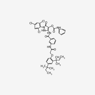 CCC(C)(C)c1ccc(OCC(=O)Nc2cccc(C(=O)Nc3[nH]n(-c4c(Cl)cc(Cl)cc4Cl)c(=O)c3OC(=O)Nc3ccccc3)c2)c(C(C)(C)CC)c1